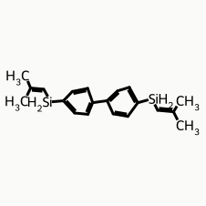 CC(C)=C[SiH2]c1ccc(-c2ccc([SiH2]C=C(C)C)cc2)cc1